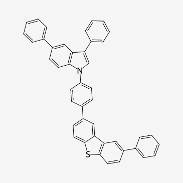 c1ccc(-c2ccc3c(c2)c(-c2ccccc2)cn3-c2ccc(-c3ccc4sc5ccc(-c6ccccc6)cc5c4c3)cc2)cc1